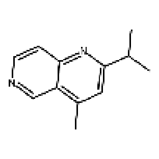 Cc1cc(C(C)C)nc2ccncc12